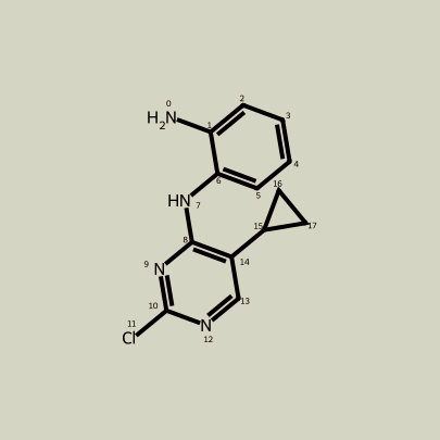 Nc1ccccc1Nc1nc(Cl)ncc1C1CC1